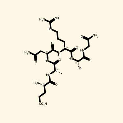 CC(C)[C@H](NC(=O)[C@H](CCCNC(=N)N)NC(=O)[C@H](CC(N)=O)NC(=O)[C@H](C)NC(=O)[C@@H](N)CCC(=O)O)C(=O)NCC(N)=O